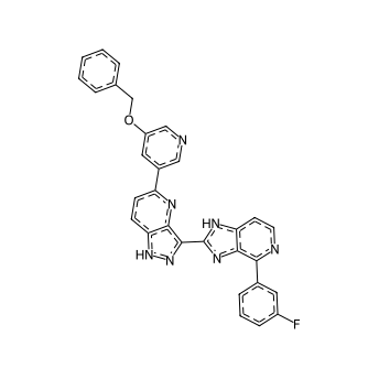 Fc1cccc(-c2nccc3[nH]c(-c4n[nH]c5ccc(-c6cncc(OCc7ccccc7)c6)nc45)nc23)c1